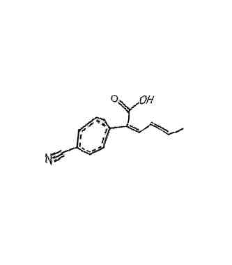 CC=CC=C(C(=O)O)c1ccc(C#N)cc1